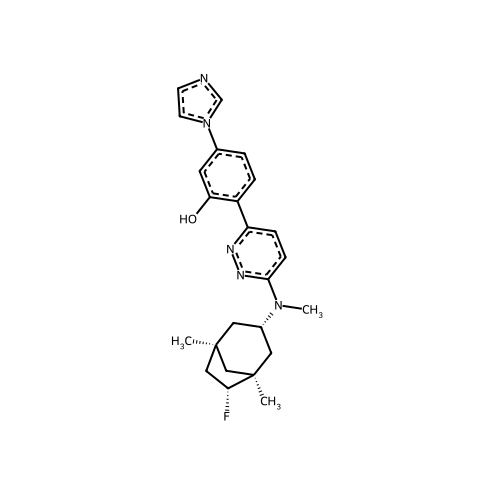 CN(c1ccc(-c2ccc(-n3ccnc3)cc2O)nn1)[C@H]1C[C@]2(C)C[C@@H](F)[C@](C)(C1)C2